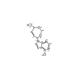 CC1C=CC(n2ccc3c(Cl)ncnc32)OCO1